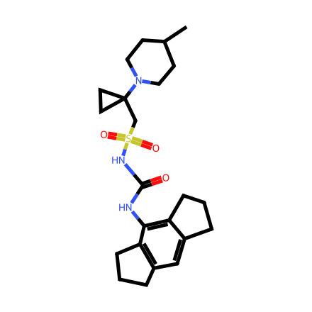 CC1CCN(C2(CS(=O)(=O)NC(=O)Nc3c4c(cc5c3CCC5)CCC4)CC2)CC1